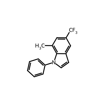 Cc1cc(C(F)(F)F)cc2ccn(-c3ccccc3)c12